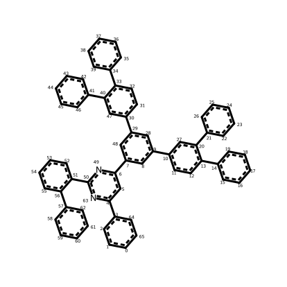 c1ccc(-c2cc(-c3cc(-c4ccc(-c5ccccc5)c(-c5ccccc5)c4)cc(-c4ccc(-c5ccccc5)c(-c5ccccc5)c4)c3)nc(-c3ccccc3-c3ccccc3)n2)cc1